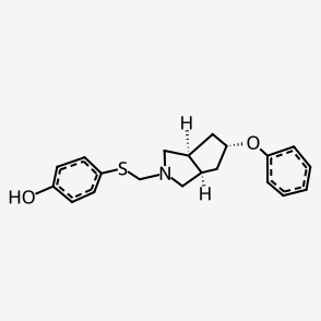 Oc1ccc(SCN2C[C@H]3C[C@H](Oc4ccccc4)C[C@H]3C2)cc1